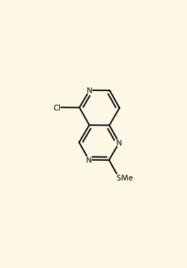 CSc1ncc2c(Cl)nccc2n1